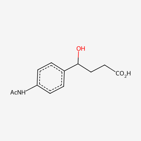 CC(=O)Nc1ccc(C(O)CCC(=O)O)cc1